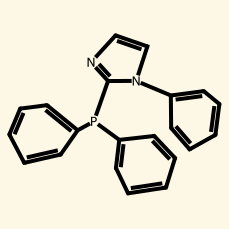 c1ccc(-n2ccnc2P(c2ccccc2)c2ccccc2)cc1